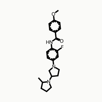 COc1ccc(C(=O)Nc2ccc(N3CCC(N4CCCC4C)C3)cc2F)cc1